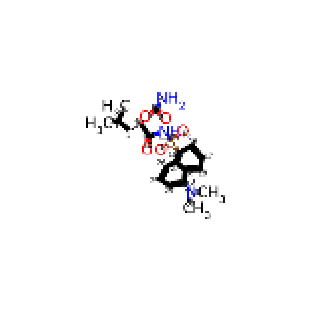 CC(C)C[C@H](OC(N)=O)C(=O)NS(=O)(=O)c1cccc2c(N(C)C)cccc12